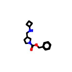 O=C(OCc1ccccc1)N1CCC(CNC2CCC2)C1